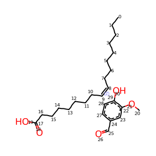 CCCCCCCC/C=C\CCCCCCCC(=O)O.COc1cc(C=O)ccc1O